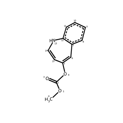 COC(=O)OC1=Cc2ccccc2NC=C1